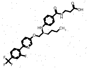 CCCC[C@@H](COc1ccc(-c2ccc(C(F)(F)F)cc2F)nc1)Nc1ccc(C(=O)NCCC(=O)O)cc1